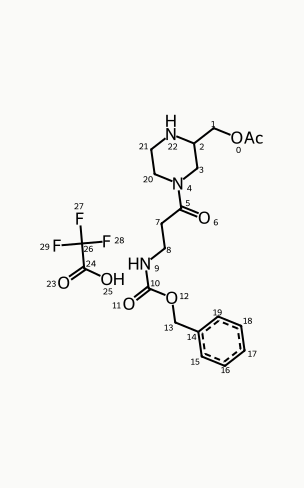 CC(=O)OCC1CN(C(=O)CCNC(=O)OCc2ccccc2)CCN1.O=C(O)C(F)(F)F